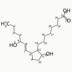 CCCCC(O)C=CC1CCC(O)C1CCCCCCCC(=O)O